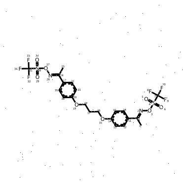 CC(=NOS(=O)(=O)C(F)(F)F)c1ccc(OCCCOc2ccc(C(C)=NOS(=O)(=O)C(F)(F)F)cc2)cc1